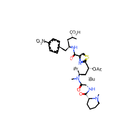 CC[C@H](C)[C@H](NC(=O)[C@H]1CCCCN1C)C(=O)N(C)[C@H](C[C@@H](OC(C)=O)c1nc(C(=O)N[C@@H](Cc2ccc([N+](=O)[O-])cc2)C[C@@H](C)C(=O)O)cs1)C(C)C